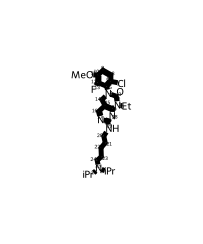 CCN1C(=O)N(c2c(Cl)ccc(OC)c2F)Cc2cnc(NCCCCCN(C(C)C)C(C)C)nc21